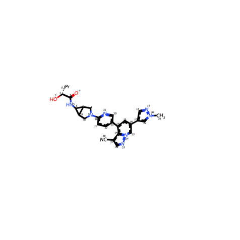 CC(C)[C@@H](O)C(=O)NC1C2CN(c3ccc(-c4cc(-c5cnn(C)c5)cn5ncc(C#N)c45)cn3)CC21